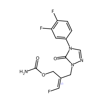 NC(=O)OC/C(=C\F)Cn1ncn(-c2ccc(F)c(F)c2)c1=O